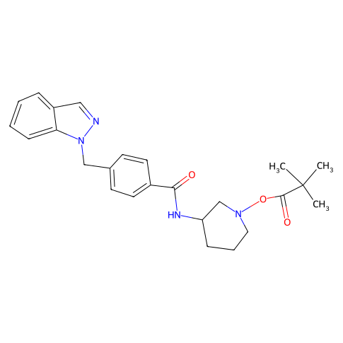 CC(C)(C)C(=O)ON1CCCC(NC(=O)c2ccc(Cn3ncc4ccccc43)cc2)C1